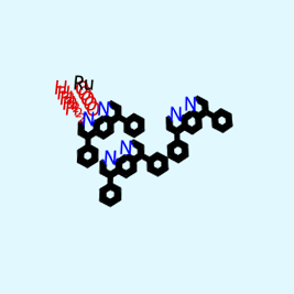 O.O.O.O.O.[Ru].c1ccc(-c2ccnc3c2ccc2c(-c4ccccc4)ccnc23)cc1.c1ccc(-c2ccnc3c2ccc2c(-c4ccccc4)ccnc23)cc1.c1ccc(-c2ccnc3c2ccc2c(-c4ccccc4)ccnc23)cc1